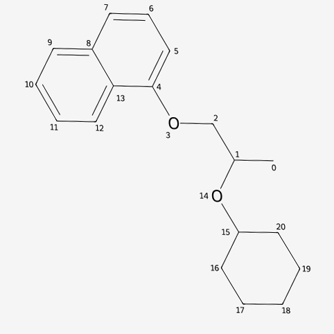 CC(COc1cccc2ccccc12)OC1CCCCC1